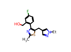 CCn1cc(Cc2sc(C)nc2-c2ccc(F)cc2CO)cn1